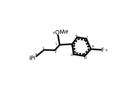 COC([CH]CC(C)C)c1ccc(F)cc1